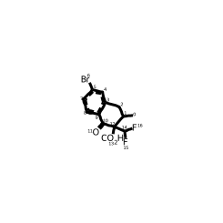 CC1Cc2cc(Br)ccc2C(=O)C1(C(=O)O)C(F)F